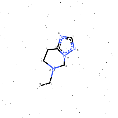 CCN1CCc2ncnn2C1